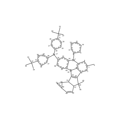 Cc1cc2c3c(c1)N(c1ccccc1)c1cc(N(c4ccc(C(C)(C)C)cc4)c4ccc(C(C)(C)C)cc4)ccc1B3C1=C2C(C)(C)C2C=CC3=CC3C12